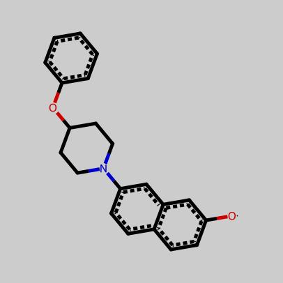 [O]c1ccc2ccc(N3CCC(Oc4ccccc4)CC3)cc2c1